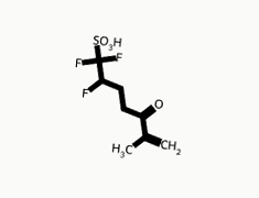 C=C(C)C(=O)CCC(F)C(F)(F)S(=O)(=O)O